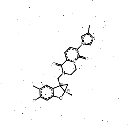 Cc1cn(-c2ccc3n(c2=O)CCN(C[C@@]24C[C@]2(C)Oc2cc(F)c(C)cc24)C3=O)cn1